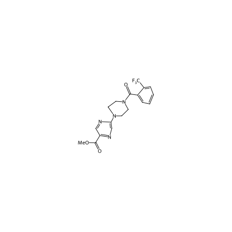 COC(=O)c1cnc(N2CCN(C(=O)c3ccccc3C(F)(F)F)CC2)cn1